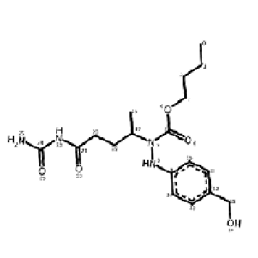 CCCCOC(=O)N(Nc1ccc(CO)cc1)C(C)CCC(=O)NC(N)=O